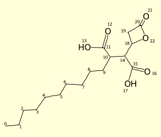 CCCCCCCCCCC(C(=O)O)C(C(=O)O)C1CC(=O)O1